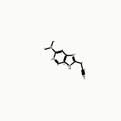 CN(C)c1cc2nc(CC#N)[nH]c2cn1